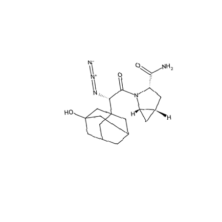 [N-]=[N+]=N[C@H](C(=O)N1[C@H](C(N)=O)C[C@@H]2C[C@@H]21)C12CC3CC(CC(O)(C3)C1)C2